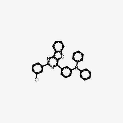 Clc1cccc(-c2nc(-c3cccc(N(c4ccccc4)c4ccccc4)c3)c3oc4ccccc4c3n2)c1